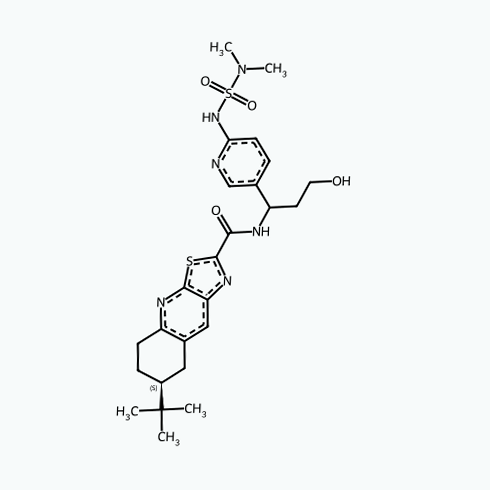 CN(C)S(=O)(=O)Nc1ccc(C(CCO)NC(=O)c2nc3cc4c(nc3s2)CC[C@H](C(C)(C)C)C4)cn1